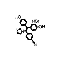 Br.N#Cc1ccc(C(=C(c2ccc(O)cc2)c2ccc(O)cc2)n2ccnc2)cc1